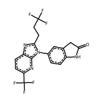 O=C1Cc2cc(-n3c(CCC(F)(F)F)nc4ccc(C(F)(F)F)nc43)ccc2N1